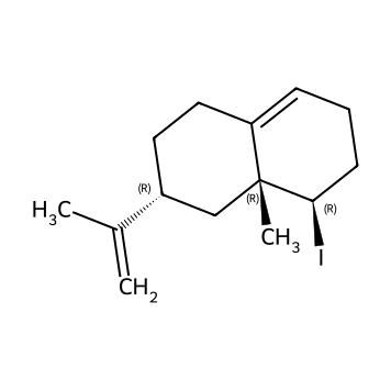 C=C(C)[C@@H]1CCC2=CCC[C@@H](I)[C@]2(C)C1